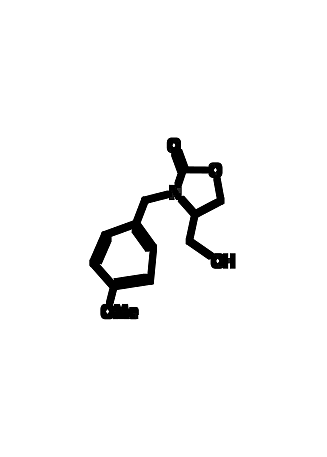 COc1ccc(CN2C(=O)OCC2CO)cc1